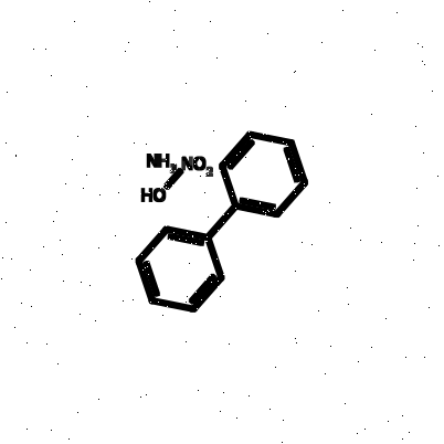 N.O=[N+]([O-])O.c1ccc(-c2ccccc2)cc1